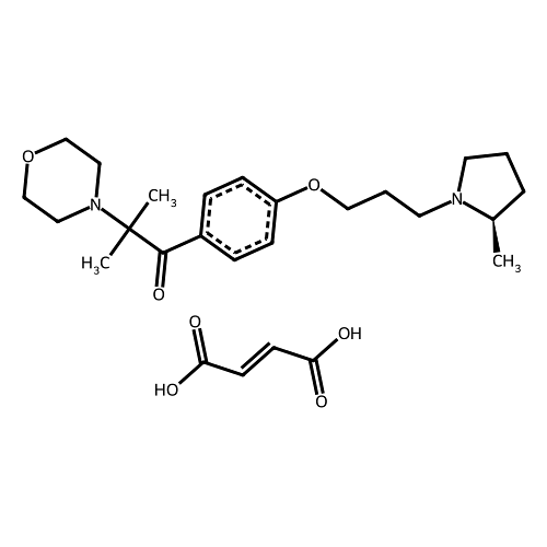 C[C@@H]1CCCN1CCCOc1ccc(C(=O)C(C)(C)N2CCOCC2)cc1.O=C(O)C=CC(=O)O